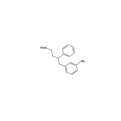 CCC(C)c1cccc(CC(CCNC)c2ccccc2)c1